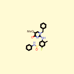 COc1cn(Cc2ccccc2)c(Nc2cc([S+]([O-])Nc3ccccc3)c(F)cc2C)nc1=O